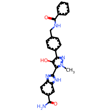 Cn1nc(-c2ccc(CNC(=O)c3ccccc3)cc2)c(O)c1-c1nc2ccc(C(N)=O)cc2[nH]1